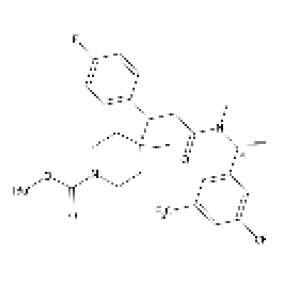 C[C@H](c1cc(C(F)(F)F)cc(C(F)(F)F)c1)N(C)C(=O)CC(c1ccc(F)cc1)C1(F)CCN(C(=O)OC(C)(C)C)CC1